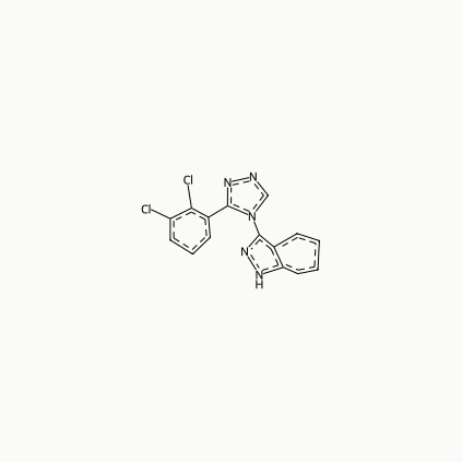 Clc1cccc(-c2nncn2-c2n[nH]c3ccccc23)c1Cl